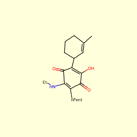 CCCCCC1=C(NCC)C(=O)C(C2C=C(C)CCC2)=C(O)C1=O